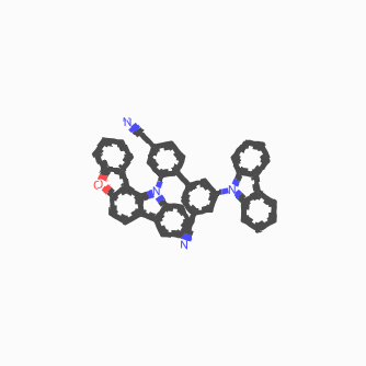 N#Cc1cc(-c2ccc(C#N)cc2-n2c3ccccc3c3ccc4oc5ccccc5c4c32)cc(-n2c3ccccc3c3ccccc32)c1